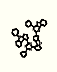 c1ccc(-c2nc(-c3cccc4oc5cc(-c6nc(-c7ccccc7)c7sc8ccccc8c7n6)ccc5c34)nc(-c3cccc4c3c3ccccc3n4-c3ccccc3)n2)cc1